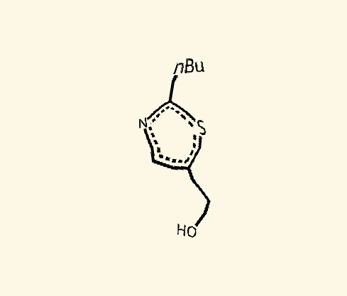 CCCCc1ncc(CO)s1